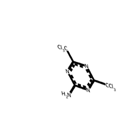 Nc1nc(C(Cl)(Cl)Cl)nc(C(Cl)(Cl)Cl)n1